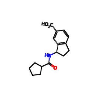 O=C(O)c1ccc2c(c1)C(NC(=O)C1CCCC1)CC2